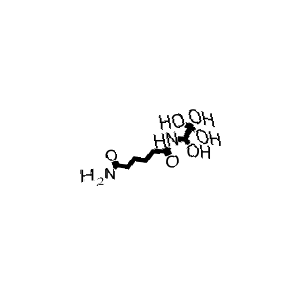 NC(=O)CCCCC(=O)NC(O)C(O)(O)O